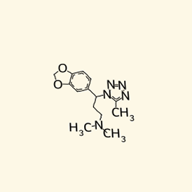 Cc1nnnn1C(CCN(C)C)c1ccc2c(c1)OCO2